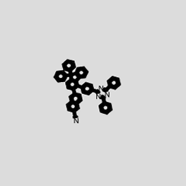 N#Cc1ccc2cc(-c3ccc4c(c3-c3ccc(-c5nc(-c6ccccc6)nc(-c6ccccc6)n5)cc3)-c3ccccc3C4(c3ccccc3)c3ccccc3)ccc2c1